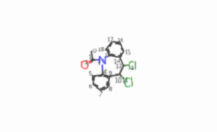 CC(=O)N1c2ccccc2C(Cl)C(Cl)c2ccccc21